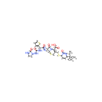 CC(C)(C)c1ccc(SCC2=C(C(=O)O)N3C(=O)[C@@H](NC(=O)C(NC(=O)NN4CCNC4=O)c4cccs4)C3SC2)[n+]([O-])n1